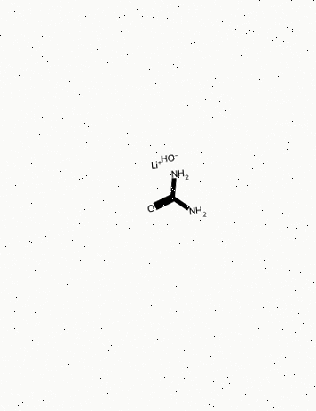 NC(N)=O.[Li+].[OH-]